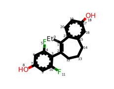 CCC1=C(c2c(F)cc(O)cc2F)CCCc2cc(O)ccc21